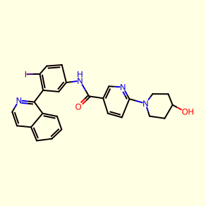 O=C(Nc1ccc(I)c(-c2nccc3ccccc23)c1)c1ccc(N2CCC(O)CC2)nc1